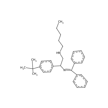 CCCCCNCC(N=C(c1ccccc1)c1ccccc1)c1ccc(C(C)(C)C)cc1